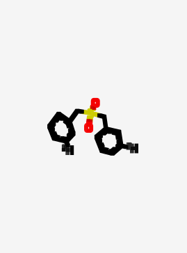 [2H]c1cccc(CS(=O)(=O)Cc2cccc([2H])c2)c1